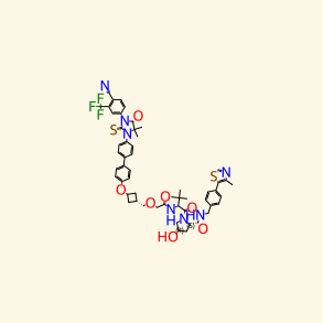 Cc1ncsc1-c1ccc(CNC(=O)[C@@H]2C[C@@H](O)CN2C(=O)C(NC(=O)COC[C@H]2C[C@H](Oc3ccc(-c4ccc(N5C(=S)N(c6ccc(C#N)c(C(F)(F)F)c6)C(=O)C5(C)C)cc4)cc3)C2)C(C)(C)C)cc1